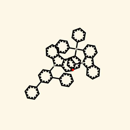 c1ccc(-c2ccc(-n3c4ccccc4c4cc(-n5c6ccccc6c6cccc([Si](c7ccccc7)(c7ccccc7)c7ccccc7)c65)ccc43)c(-c3ccccc3)c2)cc1